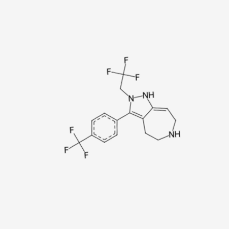 FC(F)(F)CN1NC2=CCNCCC2=C1c1ccc(C(F)(F)F)cc1